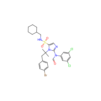 CC(C)(Cc1ccc(Br)cc1)n1c(S(=O)(=O)NCC2CCCCC2)cnc1N(C=O)c1cc(Cl)cc(Cl)c1